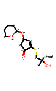 CCCCCC(C)(O)CSC1=CC(OC2CCCCO2)CC1=O